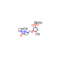 CC(=O)NS(=O)(=O)c1ccc(C#N)c(OC[C@H]2CC[C@@H](C(=O)N3CCC[C@H]3C#N)N2)c1